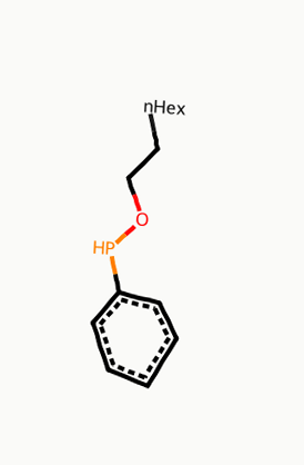 CCCCCCCCOPc1ccccc1